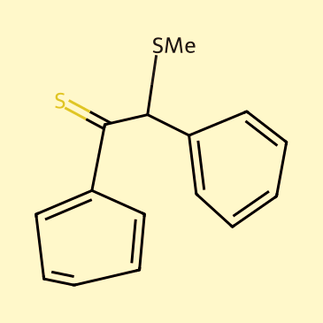 CSC(C(=S)c1ccccc1)c1ccccc1